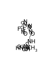 Cn1c(=O)n(C2CCC(=O)NC2O)c2ccc(NCCCCCC(=O)N3CCC(n4cc(-c5cnc6cccc(-c7cc(F)c(CN8CCOCC8)c(F)c7)c6n5)cn4)CC3)cc21